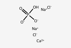 O=P([O-])([O-])O.[Ca+2].[Cl-].[Cl-].[Na+].[Na+]